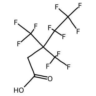 O=C(O)CC(C(F)(F)F)(C(F)(F)F)C(F)(F)C(F)(F)F